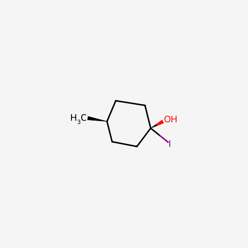 C[C@H]1CC[C@](O)(I)CC1